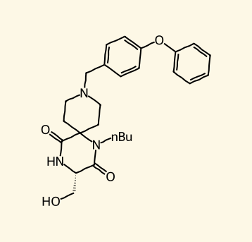 CCCCN1C(=O)[C@H](CO)NC(=O)C12CCN(Cc1ccc(Oc3ccccc3)cc1)CC2